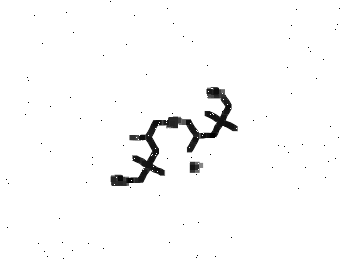 CC([CH2][Al+][CH2]C(C)CC(C)(C)CC(C)(C)C)CC(C)(C)CC(C)(C)C.[H-]